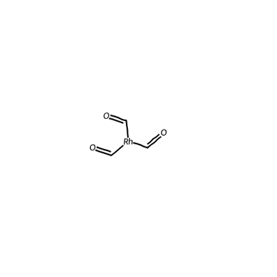 O=[CH][Rh]([CH]=O)[CH]=O